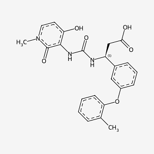 Cc1ccccc1Oc1cccc([C@H](CC(=O)O)NC(=O)Nc2c(O)ccn(C)c2=O)c1